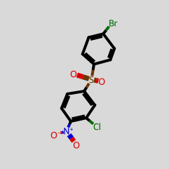 O=[N+]([O-])c1ccc(S(=O)(=O)c2ccc(Br)cc2)cc1Cl